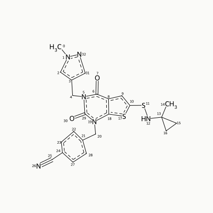 Cn1cc(Cn2c(=O)c3cc(SNC4(C)CC4)sc3n(Cc3ccc(C#N)cc3)c2=O)cn1